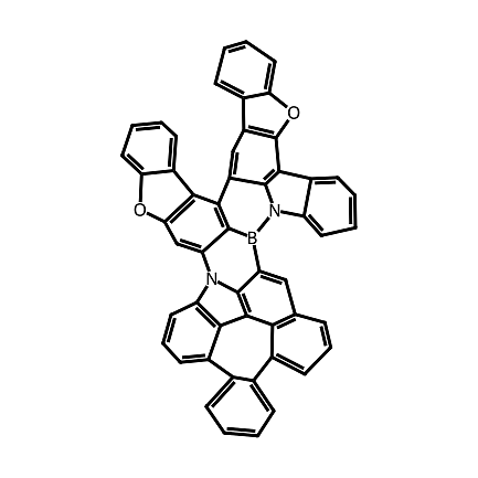 c1ccc2c(c1)-c1cccc3cc4c5c(c13)c1c-2cccc1n5-c1cc2oc3ccccc3c2c2c1B4n1c3ccccc3c3c4oc5ccccc5c4cc-2c31